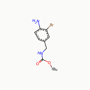 CC(C)(C)OC(=O)NCc1ccc(N)c(Br)c1